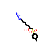 Cc1ccc(S(=O)(=O)CC(O)CCCCCN=[N+]=[N-])cc1